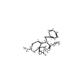 CN1CCC(N(Cc2ccccc2)C(N)=O)C(C)(C)C1